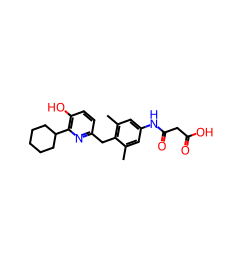 Cc1cc(NC(=O)CC(=O)O)cc(C)c1Cc1ccc(O)c(C2CCCCC2)n1